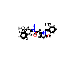 CCc1ccccc1CN1C(=O)CC[C@H]1CC(=O)N[C@@H](Cc1ccccc1)C(=O)O